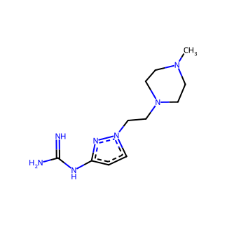 CN1CCN(CCn2ccc(NC(=N)N)n2)CC1